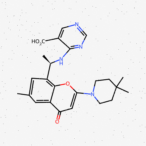 Cc1cc([C@@H](C)Nc2ncncc2C(=O)O)c2oc(N3CCC(C)(C)CC3)cc(=O)c2c1